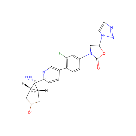 N[C@]1(c2ccc(-c3ccc(N4CC(n5ccnn5)OC4=O)cc3F)cn2)[C@@H]2C[S+]([O-])C[C@@H]21